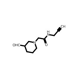 C#CCNC(=O)CN1CCCC(C=O)C1